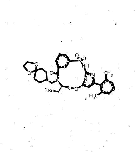 Cc1cccc(C)c1-c1cc2nc(n1)NS(=O)(=O)c1cccc(c1)C(=O)N(CC1CCC3(CC1)OCCO3)[C@H](CC(C)(C)C)CO2